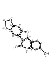 O=c1oc2cc(O)ccc2c2oc3cc4c(cc3c12)OCO4